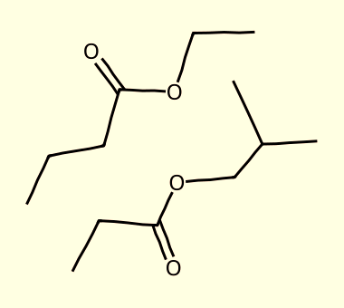 CCC(=O)OCC(C)C.CCCC(=O)OCC